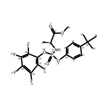 COC(=O)[C@H](C)NP(=O)(Oc1ccc(C(C)(C)C)cc1)Oc1c(F)c(F)c(F)c(F)c1F